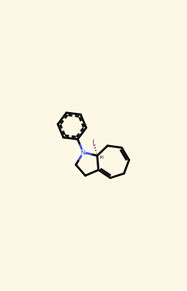 I[C@]12CC=CCC=C1CCN2c1ccccc1